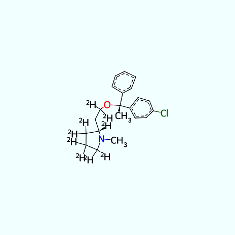 [2H]C([2H])(C[C@]1([2H])N(C)C([2H])([2H])C([2H])([2H])C1([2H])[2H])O[C@](C)(c1ccccc1)c1ccc(Cl)cc1